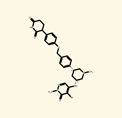 CN1C[C@H](Nc2cnn(C)c(=O)c2Br)C[C@H](c2ccc(COc3ccc(C4CCC(=O)NC4=O)cc3)cc2)C1